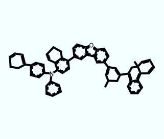 CC1C=C(c2ccc3oc4ccc(-c5ccc(N(c6ccccc6)c6ccc(C7=CC=CCC7)cc6)c6c5CCC=C6)cc4c3c2)C=C(C2=c3ccccc3=C3C=CC=CC3(C)C2)C1